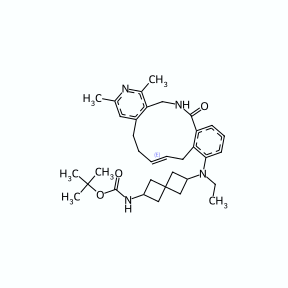 CCN(c1cccc2c1C/C=C/CCc1cc(C)nc(C)c1CNC2=O)C1CC2(CC(NC(=O)OC(C)(C)C)C2)C1